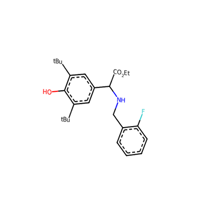 CCOC(=O)C(NCc1ccccc1F)c1cc(C(C)(C)C)c(O)c(C(C)(C)C)c1